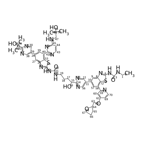 CCNC(=O)Nc1nc2cc(-c3cnc(C(O)CCCNC(=O)Nc4nc5cc(-c6cnc(C(C)(C)O)nc6)cc(-c6nccc(NCC(C)(C)O)n6)c5s4)nc3)cc(-c3cc(OCC4CCCO4)ccn3)c2s1